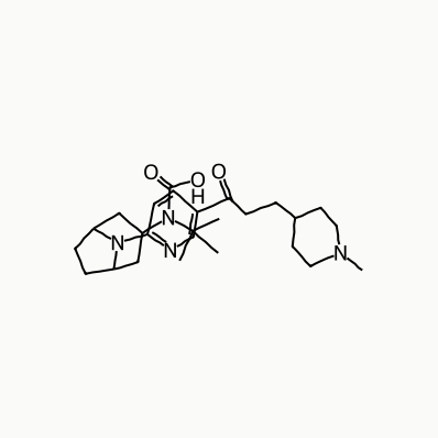 CN1CCC(CCC(=O)c2ccc(N3C4CCC3CC(N(C(=O)O)C(C)(C)C)C4)nc2)CC1